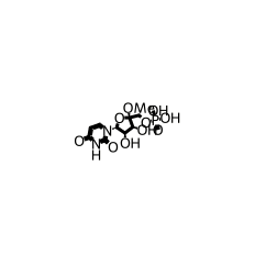 CO[C@]1(COP(=O)(O)O)O[C@@H](n2ccc(=O)[nH]c2=O)[C@H](O)[C@@H]1O